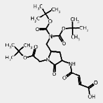 CC(C)(C)OC(=O)CN1C(=O)C(NC(=O)C=CC(=O)O)CC1CN(C(=O)OC(C)(C)C)C(=O)OC(C)(C)C